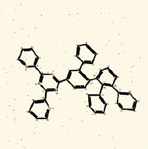 c1ccc(-c2cc(-c3nc(-c4ccccn4)nc(-c4ccccn4)n3)ccc2-c2cccc(-c3ccccc3)c2-c2ccccc2)cc1